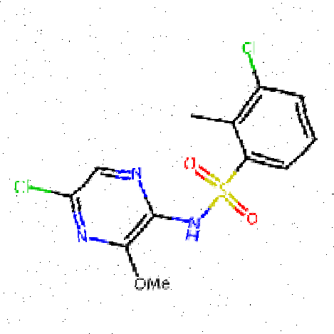 COc1nc(Cl)cnc1NS(=O)(=O)c1cccc(Cl)c1C